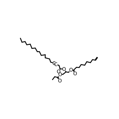 C=CCCCCCCCC(=O)OCC(COC(=O)CC)OC(=O)CCCCCCCCCCCCCCCCC